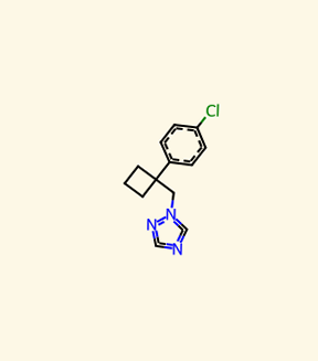 Clc1ccc(C2(Cn3cncn3)CCC2)cc1